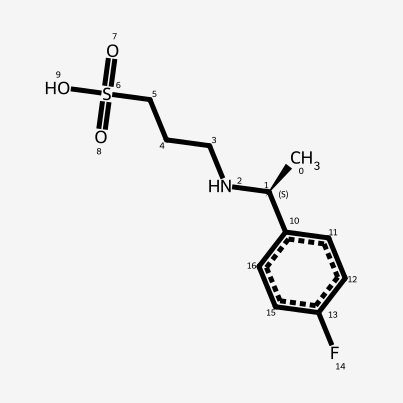 C[C@H](NCCCS(=O)(=O)O)c1ccc(F)cc1